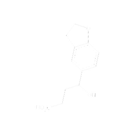 O=C(O)CCC(O)c1ccc2c(c1)CCO2